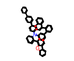 c1ccc(-c2ccc(-c3ccc(N(c4cccc(-c5ccccc5-c5cccc6ccccc56)c4)c4ccccc4-c4cccc5c4oc4ccccc45)cc3)cc2)cc1